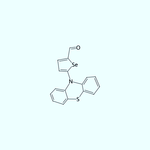 O=Cc1ccc(N2c3ccccc3Sc3ccccc32)[se]1